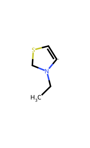 CCN1[C]=CSC1